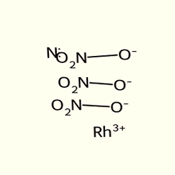 O=[N+]([O-])[O-].O=[N+]([O-])[O-].O=[N+]([O-])[O-].[N].[Rh+3]